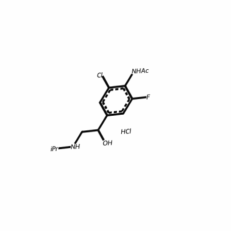 CC(=O)Nc1c(F)cc(C(O)CNC(C)C)cc1Cl.Cl